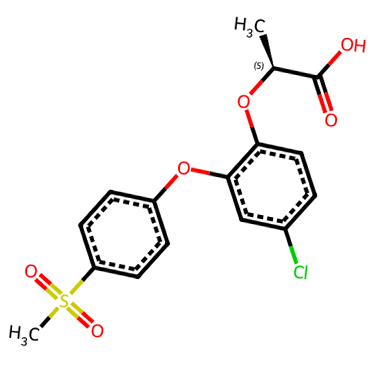 C[C@H](Oc1ccc(Cl)cc1Oc1ccc(S(C)(=O)=O)cc1)C(=O)O